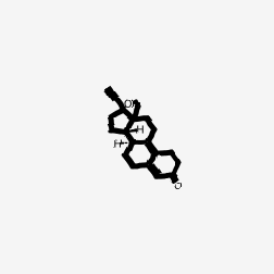 C#C[C@]1(O)CC[C@H]2[C@@H]3CCC4=CC(=O)CCC4=C3CCC21CC